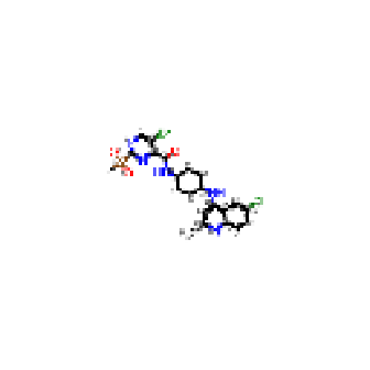 CS(=O)(=O)c1ncc(Br)c(C(=O)NC2CCC(Nc3cc(C(F)(F)F)nc4ccc(Cl)cc34)CC2)n1